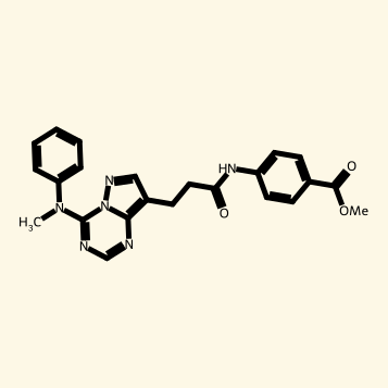 COC(=O)c1ccc(NC(=O)CCc2cnn3c(N(C)c4ccccc4)ncnc23)cc1